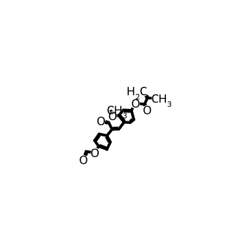 C=C(C)C(=O)Oc1ccc(/C=C(\C=O)c2ccc(OC=O)cc2)c(OC)c1